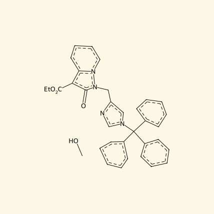 CCOC(=O)c1c(=O)n(Cc2cn(C(c3ccccc3)(c3ccccc3)c3ccccc3)cn2)n2ccccc12.CO